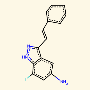 Nc1cc(F)c2[nH]nc(C=Cc3ccccc3)c2c1